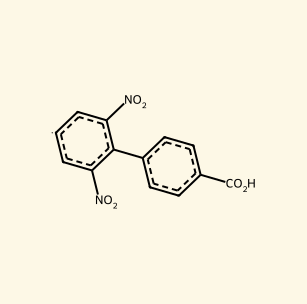 O=C(O)c1ccc(-c2c([N+](=O)[O-])c[c]cc2[N+](=O)[O-])cc1